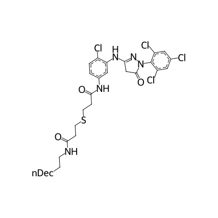 CCCCCCCCCCCCNC(=O)CCSCCC(=O)Nc1ccc(Cl)c(NC2=NN(c3c(Cl)cc(Cl)cc3Cl)C(=O)C2)c1